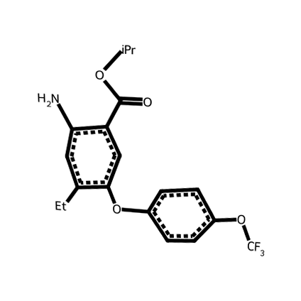 CCc1cc(N)c(C(=O)OC(C)C)cc1Oc1ccc(OC(F)(F)F)cc1